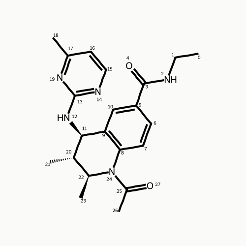 CCNC(=O)c1ccc2c(c1)[C@H](Nc1nccc(C)n1)[C@@H](C)[C@H](C)N2C(C)=O